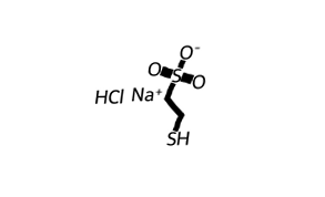 Cl.O=S(=O)([O-])CCS.[Na+]